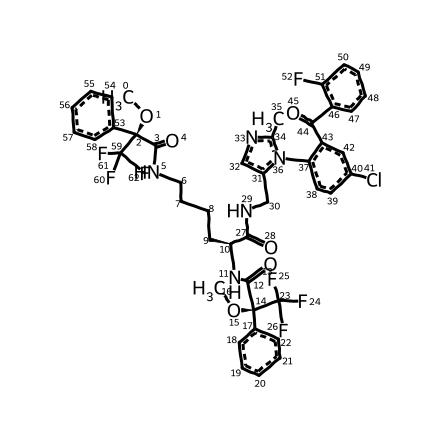 CO[C@](C(=O)NCCCC[C@H](NC(=O)[C@@](OC)(c1ccccc1)C(F)(F)F)C(=O)NCc1cnc(C)n1-c1ccc(Cl)cc1C(=O)c1ccccc1F)(c1ccccc1)C(F)(F)F